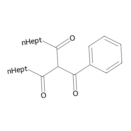 CCCCCCCC(=O)C(C(=O)CCCCCCC)C(=O)c1ccccc1